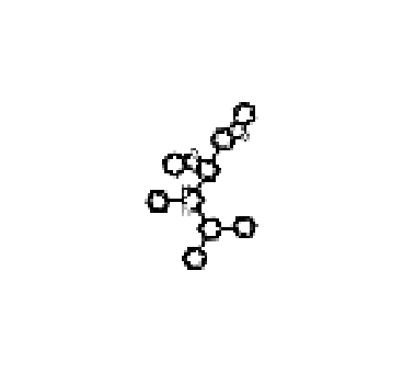 c1ccc(-c2cc(-c3ccccc3)cc(-c3cc(-c4ccc(-c5ccc6c(c5)oc5ccccc56)c5oc6ccccc6c45)nc(-c4ccccc4)n3)c2)cc1